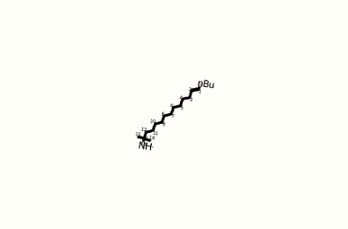 CCCCC=CCCCCCCCCCCC(C)(C)[NH]